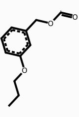 CCCOc1cccc(CO[C]=O)c1